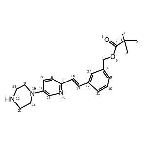 CC(C)(C)C(=O)OCc1cccc(C=Cc2ccc(N3CCNCC3)cn2)c1